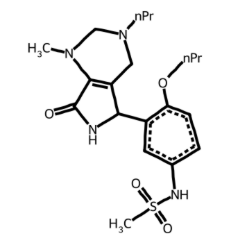 CCCOc1ccc(NS(C)(=O)=O)cc1C1NC(=O)C2=C1CN(CCC)CN2C